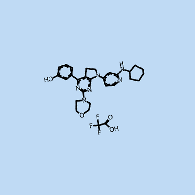 O=C(O)C(F)(F)F.Oc1cccc(-c2nc(N3CCOCC3)nc3c2CCN3c2ccnc(NC3CCCCC3)c2)c1